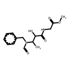 COC(=O)CNC(=O)C(O)C(C)N(C=O)Cc1ccccc1